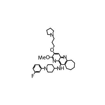 COc1nc2c(NC3CCN(c4cccc(F)c4)CC3)c3c(nc2cc1OCCCN1CCCC1)CCCCC3